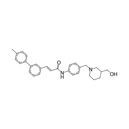 Cc1ccc(-c2cccc(C=CC(=O)Nc3ccc(CN4CCCC(CO)C4)cc3)c2)cc1